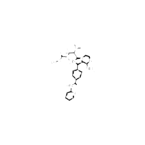 CCN(C(=O)OC(C)(C)C)[C@@H](C)C(c1nc(-c2ccc(C(=O)Nc3ccccn3)cc2)c2c(N)nccn12)N(C)C